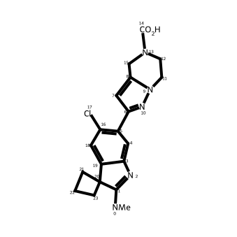 CNC1=Nc2cc(-c3cc4n(n3)CCN(C(=O)O)C4)c(Cl)cc2C12CCC2